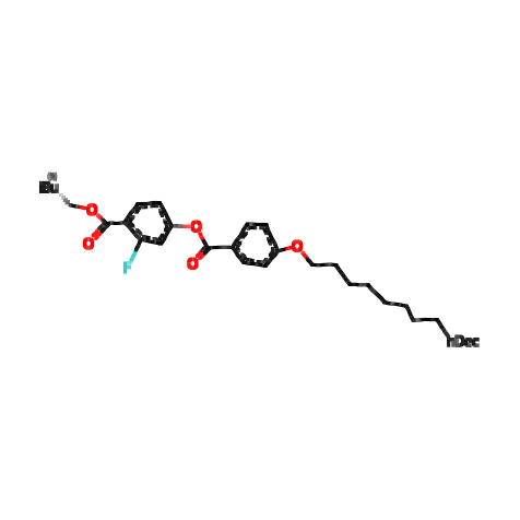 CCCCCCCCCCCCCCCCCCOc1ccc(C(=O)Oc2ccc(C(=O)OC[C@@H](C)CC)c(F)c2)cc1